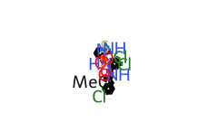 COC(=O)[C@H](Cc1ccc(Cl)cc1)NC(=O)c1cc(Cl)c(Cl)cc1NS(=O)(=O)C1=CC=CN2SNC=C12